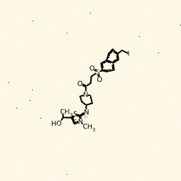 CC(O)c1cn(C)/c(=N/C2CCN(C(=O)CCS(=O)(=O)c3ccc4cc(CI)ccc4c3)CC2)s1